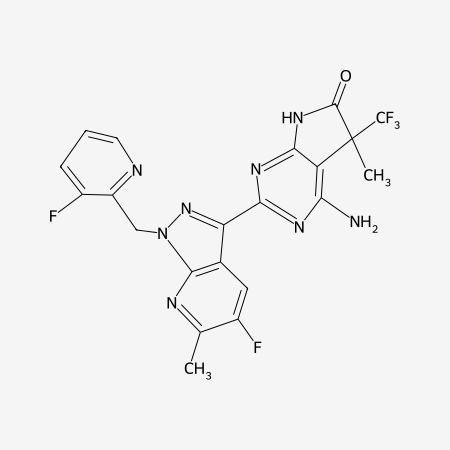 Cc1nc2c(cc1F)c(-c1nc(N)c3c(n1)NC(=O)C3(C)C(F)(F)F)nn2Cc1ncccc1F